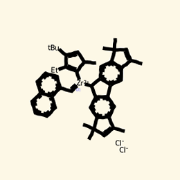 CCC1=[C](/[Zr+2](=[CH]\c2cccc3ccccc23)[CH]2c3cc4c(cc3-c3cc5c(cc32)C(C)(C)C=C5C)C(C)=CC4(C)C)C(C)C=C1C(C)(C)C.[Cl-].[Cl-]